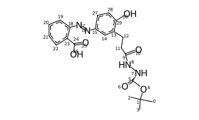 CC(C)(C)OC(=O)NNC(=O)CCc1cc(/N=N/c2ccccc2C(=O)O)ccc1O